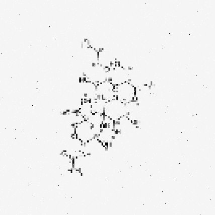 CC(=O)NC1OO[C@@](O[C@]2(O)COC(O[C@@H](C)C(CO)OC(OCCS)C(O)O)C(O)C2O)(C(=O)O)C[C@H]1O